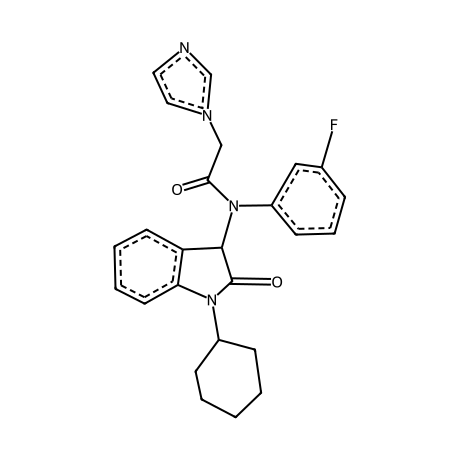 O=C1C(N(C(=O)Cn2ccnc2)c2cccc(F)c2)c2ccccc2N1C1CCCCC1